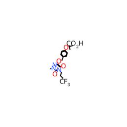 Cn1nc(OCc2ccc(OC(C)(C)C(=O)O)cc2)c(=O)n(CCCC(F)(F)F)c1=O